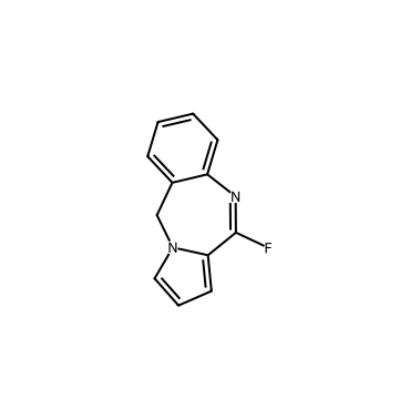 FC1=Nc2ccccc2Cn2cccc21